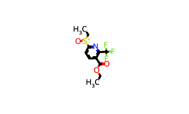 CCOC(=O)c1ccc([S+]([O-])CC)nc1C(F)(F)F